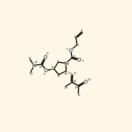 C=CCOC(=O)N1C[C@H](OC(=O)N(C)C)C[C@H]1/C=C(\C)C(C)=O